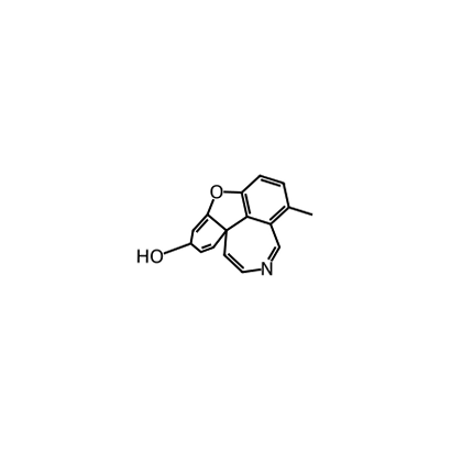 Cc1ccc2c3c1C=NC=CC31C=CC(O)C=C1O2